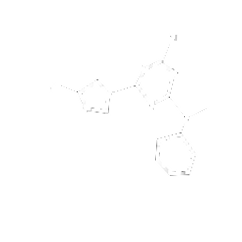 CN(c1ccccc1)c1nc(N)nc(-n2cnc(C(Cl)(Cl)Cl)c2)n1